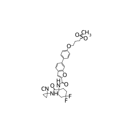 CS(=O)(=O)CCCOc1ccc(-c2ccc3cc(C(=O)NC4(C(=O)NC5(C#N)CC5)CCC(F)(F)CC4)oc3c2)cc1